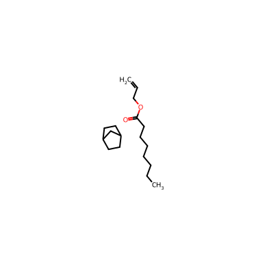 C1CC2CCC1C2.C=CCOC(=O)CCCCCCC